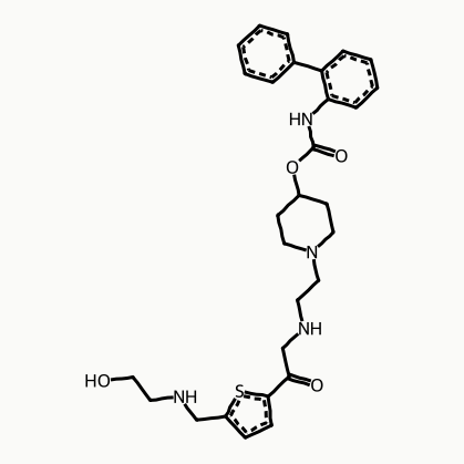 O=C(Nc1ccccc1-c1ccccc1)OC1CCN(CCNCC(=O)c2ccc(CNCCO)s2)CC1